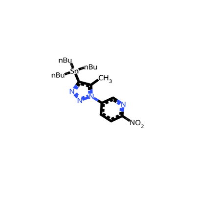 CCC[CH2][Sn]([CH2]CCC)([CH2]CCC)[c]1nnn(-c2ccc([N+](=O)[O-])nc2)c1C